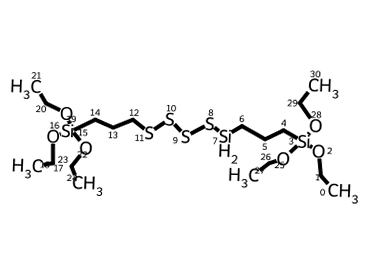 CCO[Si](CCC[SiH2]SSSSCCC[Si](OCC)(OCC)OCC)(OCC)OCC